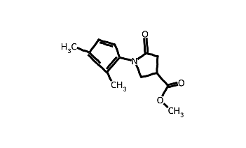 COC(=O)C1CC(=O)N(c2ccc(C)cc2C)C1